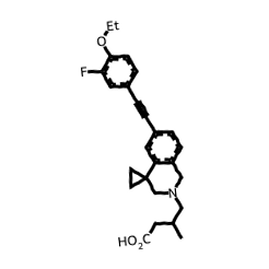 CCOc1ccc(C#Cc2ccc3c(c2)C2(CC2)CN(CC(C)CC(=O)O)C3)cc1F